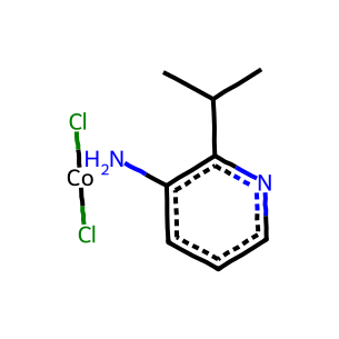 CC(C)c1ncccc1N.[Cl][Co][Cl]